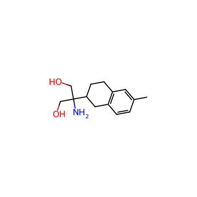 Cc1ccc2c(c1)CCC(C(N)(CO)CO)C2